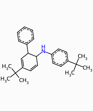 CC(C)(C)C1=CC(c2ccccc2)C(Nc2ccc(C(C)(C)C)cc2)C=C1